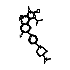 CC(C)n1c(=O)n(C)c2nnc3cc(F)c(-c4ccc(N5CCC(N(C)C)CC5)cc4)cc3c21